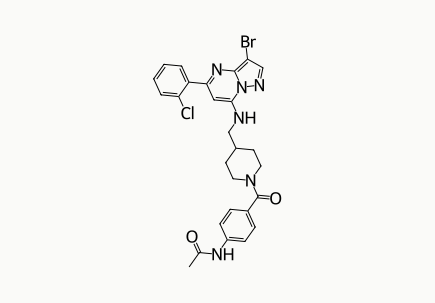 CC(=O)Nc1ccc(C(=O)N2CCC(CNc3cc(-c4ccccc4Cl)nc4c(Br)cnn34)CC2)cc1